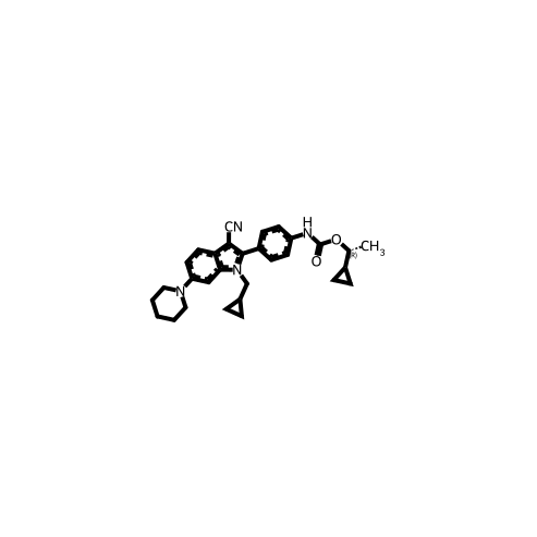 C[C@@H](OC(=O)Nc1ccc(-c2c(C#N)c3ccc(N4CCCCC4)cc3n2CC2CC2)cc1)C1CC1